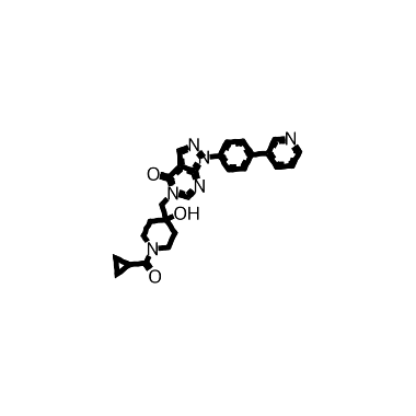 O=C(C1CC1)N1CCC(O)(Cn2cnc3c(cnn3-c3ccc(-c4cccnc4)cc3)c2=O)CC1